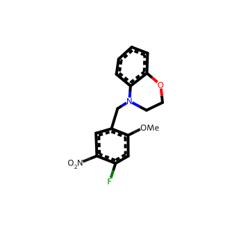 COc1cc(F)c([N+](=O)[O-])cc1CN1CCOc2ccccc21